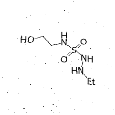 CCNNS(=O)(=O)NCCO